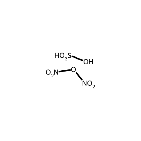 O=S(=O)(O)O.O=[N+]([O-])O[N+](=O)[O-]